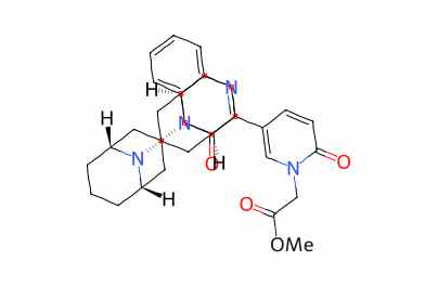 COC(=O)Cn1cc(-c2nc3ccccc3n([C@H]3C[C@H]4CCC[C@@H](C3)N4[C@H]3C[C@@H]4CCC[C@@H](C4)C3)c2=O)ccc1=O